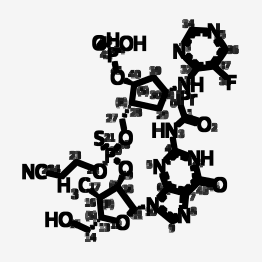 CC(C)C(=O)Nc1nc2c(ncn2[C@@H]2O[C@H](CO)[C@@H](C)[C@H]2OP(=S)(OCCC#N)OC[C@H]2C[C@@H](Nc3ncncc3F)C[C@@H]2O[PH](=O)O)c(=O)[nH]1